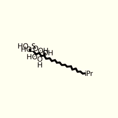 CC(C)CCCCCCCCCCCCCCCC(O)[C@@H](O)[C@@H](O)[C@H](O)[C@@H](CO)OS(=O)(=O)O